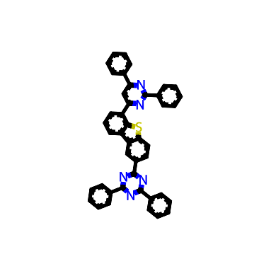 c1ccc(-c2cc(-c3cccc4c3sc3ccc(-c5nc(-c6ccccc6)nc(-c6ccccc6)n5)cc34)nc(-c3ccccc3)n2)cc1